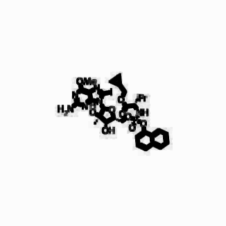 COc1nc(N)nc2c1nc(I)n2C1O[C@H](COP(=O)(N[C@H](C(=O)OCC2CC2)C(C)C)Oc2cccc3ccccc23)[C@@H](O)[C@@]1(C)O